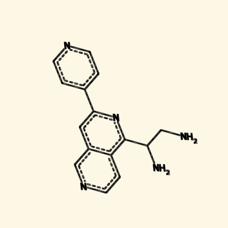 NCC(N)c1nc(-c2ccncc2)cc2cnccc12